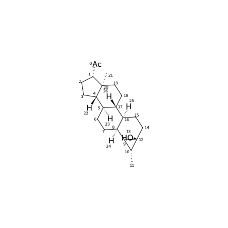 CC(=O)[C@H]1CC[C@H]2[C@@H]3CC[C@@H]4C5[C@@H](C)[C@@]5(O)CC[C@@H]4[C@H]3CC[C@]12C